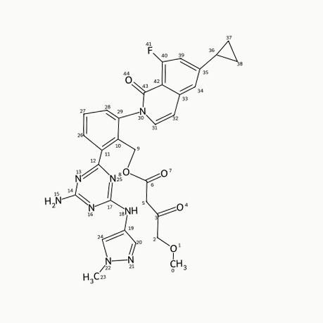 COCC(=O)CC(=O)OCc1c(-c2nc(N)nc(Nc3cnn(C)c3)n2)cccc1-n1ccc2cc(C3CC3)cc(F)c2c1=O